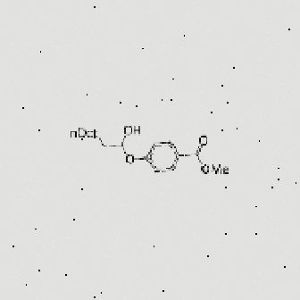 CCCCCCCCCC(O)Oc1ccc(C(=O)OC)cc1